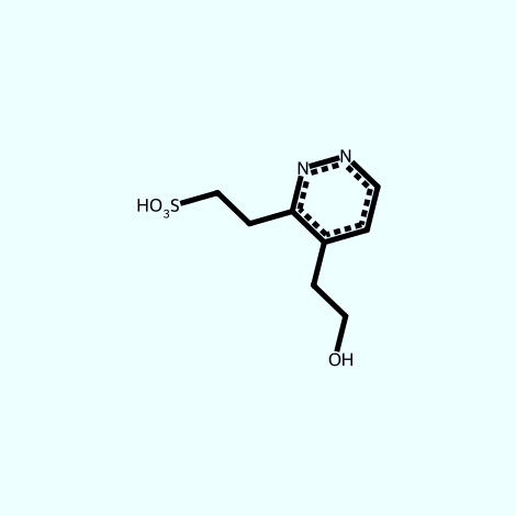 O=S(=O)(O)CCc1nnccc1CCO